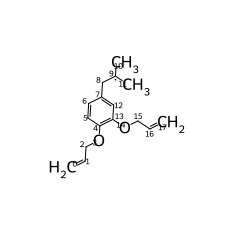 C=CCOc1ccc(C[C](C)C)cc1OCC=C